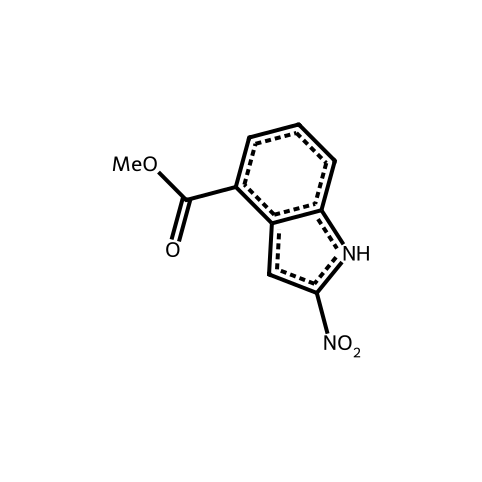 COC(=O)c1cccc2[nH]c([N+](=O)[O-])cc12